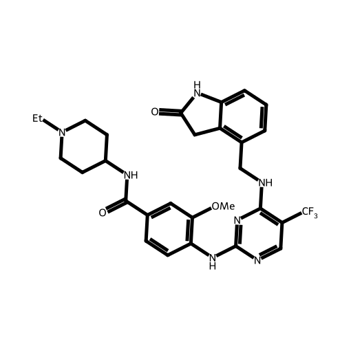 CCN1CCC(NC(=O)c2ccc(Nc3ncc(C(F)(F)F)c(NCc4cccc5c4CC(=O)N5)n3)c(OC)c2)CC1